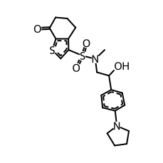 CN(CC(O)c1ccc(N2CCCC2)cc1)S(=O)(=O)c1csc2c1CCCC2=O